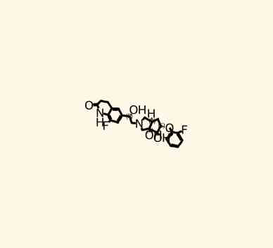 O=C1CCc2cc([C@H](O)CN3C[C@H]4C[C@H](Oc5ccccc5F)[C@H](O)[C@@]4(O)C3)cc(F)c2N1